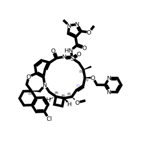 COc1nn(C)cc1C(=O)NS1(=O)=NC(=O)c2ccc3c(c2)N(C[C@@H]2CC[C@H]2[C@@H](OC)/C=C/[C@H](OCc2ncccn2)[C@H](C)C1)C[C@@]1(CCCc2cc(Cl)ccc21)CO3